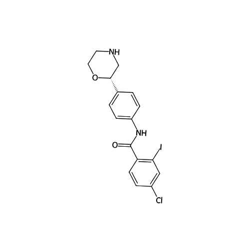 O=C(Nc1ccc([C@H]2CNCCO2)cc1)c1ccc(Cl)cc1I